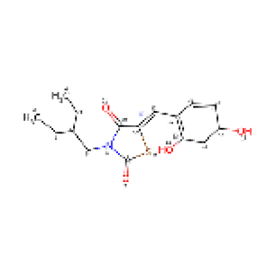 CCC(CC)CN1C(=O)S/C(=C\C2=C(O)CC(O)C=C2)C1=O